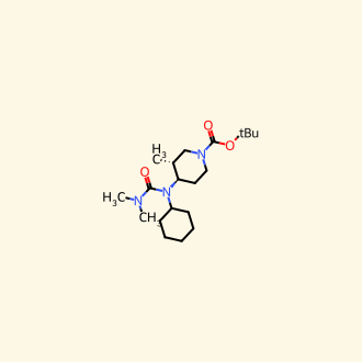 C[C@@H]1CN(C(=O)OC(C)(C)C)CC[C@H]1N(C(=O)N(C)C)C1CCCCC1